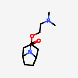 CN(C)CCOC1CC2CCC(C1)N2C=O